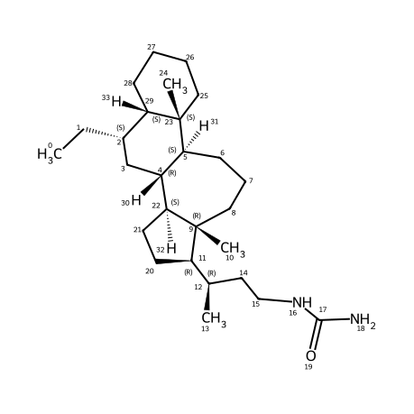 CC[C@H]1C[C@@H]2[C@H](CCC[C@]3(C)[C@@H]([C@H](C)CCNC(N)=O)CC[C@@H]23)[C@@]2(C)CCCC[C@@H]12